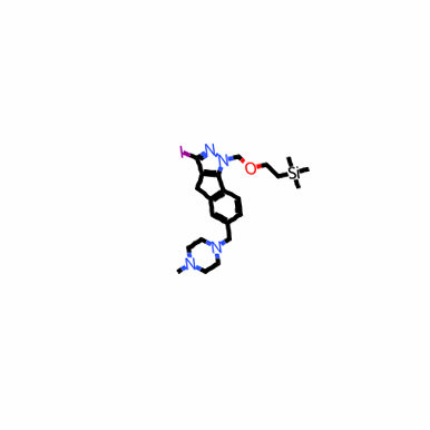 CN1CCN(Cc2ccc3c(c2)Cc2c(I)nn(COCC[Si](C)(C)C)c2-3)CC1